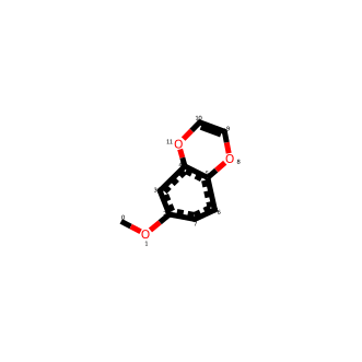 COc1[c]c2c(cc1)OC=CO2